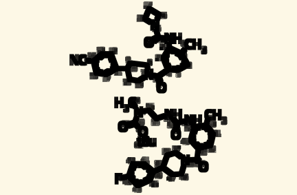 Cc1ccc(C(=O)N2CCC(c3ccc(C#N)cc3)CC2)cc1NC(=O)N1CCC1.Cc1ccc(C(=O)N2CCC(c3ccc(F)cc3)CC2)cc1NC(=O)NCCN(C)C(=O)OC(C)(C)C